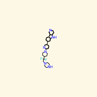 FC(F)(CN1CCNCC1)C1CCN(c2ccc(-c3ccc4c(c3)[nH]c3ccncc34)cn2)CC1